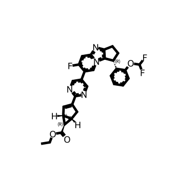 CCOC(=O)[C@H]1[C@@H]2C=C(c3ncc(-c4cn5c6c(nc5cc4F)CC[C@@H]6c4ccccc4OC(F)F)cn3)C[C@@H]21